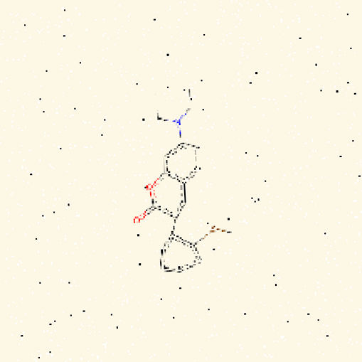 CCN(CC)c1ccc2cc(-c3ccccc3SC)c(=O)oc2c1